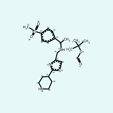 CC(C)(C)OC=O.CC(NCc1csc(C2CCNCC2)n1)c1ccc(S(C)(=O)=O)cc1